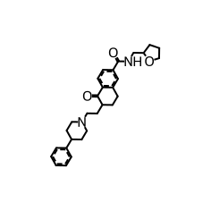 O=C(NCC1CCCO1)c1ccc2c(c1)CCC(CCN1CCC(c3ccccc3)CC1)C2=O